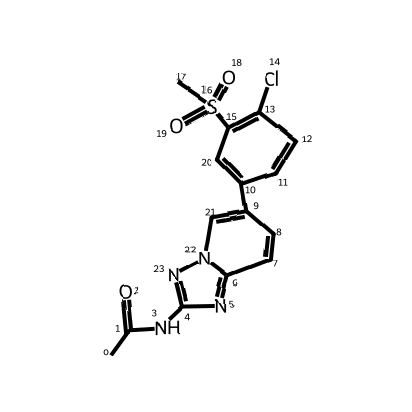 CC(=O)Nc1nc2ccc(-c3ccc(Cl)c(S(C)(=O)=O)c3)cn2n1